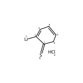 Cl.[Li][C]1=CC=CCC1=S